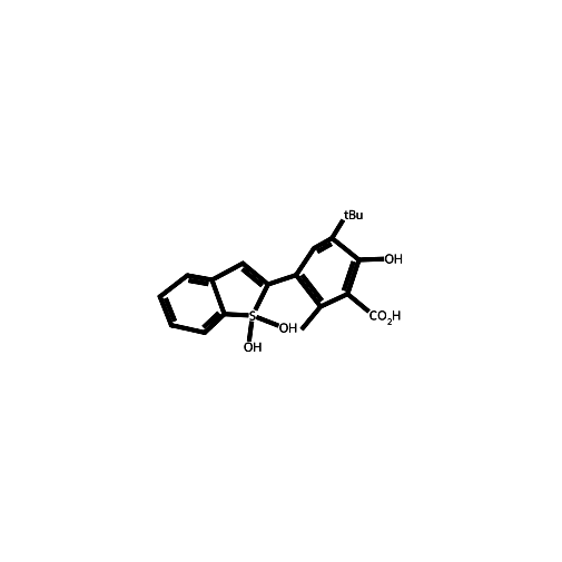 Cc1c(C2=Cc3ccccc3S2(O)O)cc(C(C)(C)C)c(O)c1C(=O)O